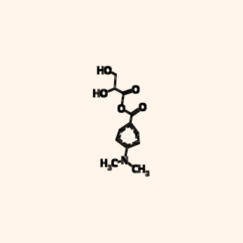 CN(C)c1ccc(C(=O)OC(=O)C(O)CO)cc1